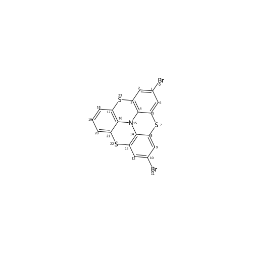 Brc1cc2c3c(c1)Sc1cc(Br)cc4c1N3c1c(cccc1S4)S2